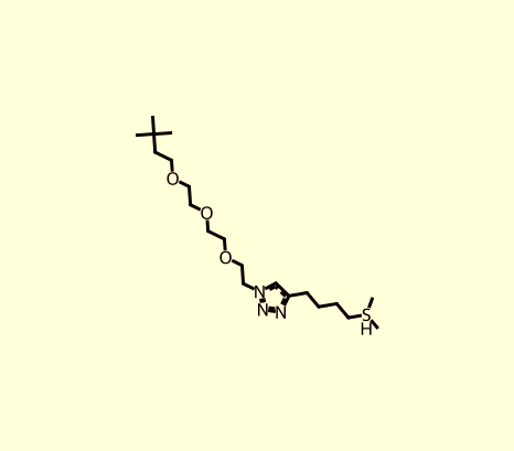 C[SH](C)CCCCc1cn(CCOCCOCCOCCC(C)(C)C)nn1